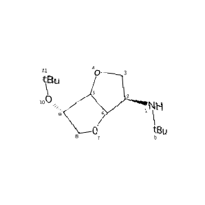 CC(C)(C)N[C@@H]1COC2C1OC[C@@H]2OC(C)(C)C